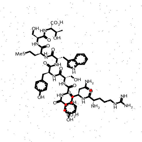 CSCC[C@H](NC(=O)[C@H](Cc1c[nH]c2ccccc12)NC(=O)[C@H](Cc1ccc(O)cc1)NC(=O)[C@H](CO)NC(=O)[C@H](Cc1ccc(O)cc1)NC(=O)[C@H](CC(=O)O)NC(=O)[C@@H](CC(N)=O)NC(=O)[C@@H](N)CCCNC(=N)N)C(=O)N[C@@H](CO)C(=O)N[C@H](C(=O)O)[C@@H](C)O